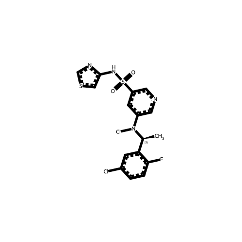 C[C@@H](c1cc(Cl)ccc1F)N(Cl)c1cncc(S(=O)(=O)Nc2cscn2)c1